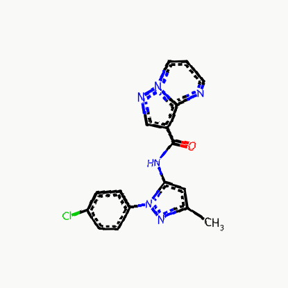 Cc1cc(NC(=O)c2cnn3cccnc23)n(-c2ccc(Cl)cc2)n1